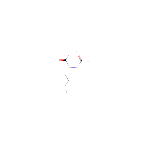 CSCC[C@@H](NC(N)=O)C(=O)O